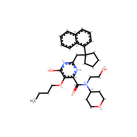 CCCCOc1c(O)nc(CC2(c3cccc4ccccc34)CCCC2)nc1C(=O)N(CCO)C1CCOCC1